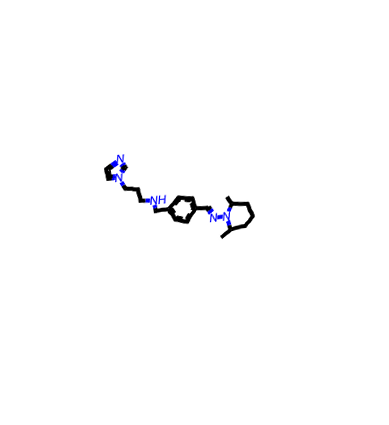 CC1CCCC(C)N1N=Cc1ccc(CNCCCn2ccnc2)cc1